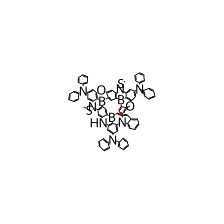 CSN1c2cc3c(cc2B2c4cc5c(cc4Oc4cc(N(c6ccccc6)c6ccccc6)cc1c42)N(SC)c1cc(N(c2ccccc2)c2ccccc2)cc2c1B5c1ccccc1O2)B1c2c(cc(N(c4ccccc4)c4ccccc4)cc2-n2c4ccccc4c4cccc1c42)N3